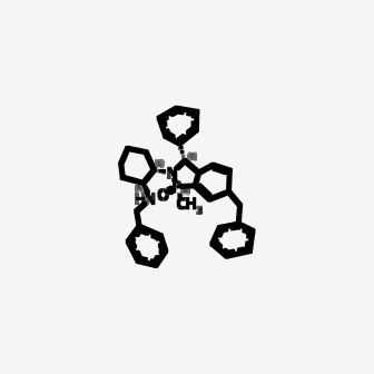 C[P@@]1(=O)C2=CC(Cc3ccccc3)C=CC2[C@@H](c2ccccc2)N1[C@H]1CCCC[C@@H]1NCc1ccccc1